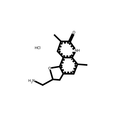 Cc1cc2c3c(cc(C)c2[nH]c1=O)CC(CN)O3.Cl